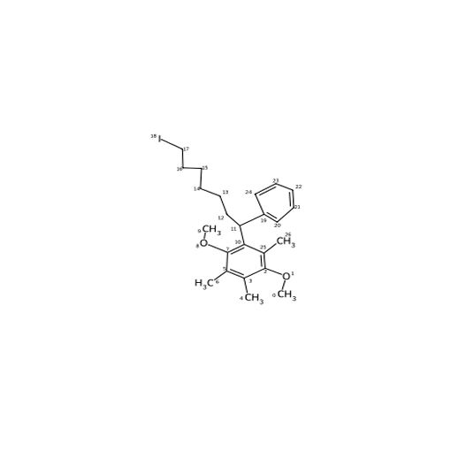 COc1c(C)c(C)c(OC)c(C(CCCCCCI)c2ccccc2)c1C